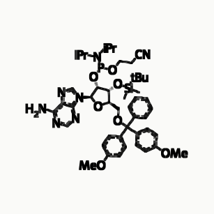 COc1ccc(C(OC[C@H]2O[C@@H](n3cnc4c(N)ncnc43)[C@H](OP(OCCC#N)N(C(C)C)C(C)C)[C@@H]2O[Si](C)(C)C(C)(C)C)(c2ccccc2)c2ccc(OC)cc2)cc1